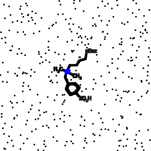 CCCCCCCCCCCCCC[N+](C)(C)Cc1ccc(S(=O)(=O)O)cc1